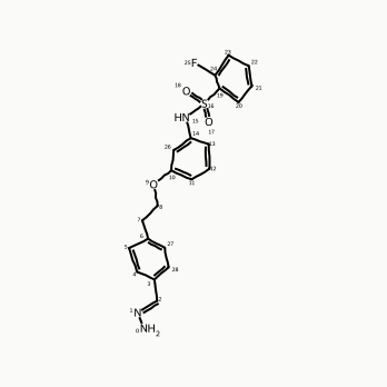 NN=Cc1ccc(CCOc2cccc(NS(=O)(=O)c3ccccc3F)c2)cc1